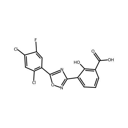 O=C(O)c1cccc(-c2noc(-c3cc(F)c(Cl)cc3Cl)n2)c1O